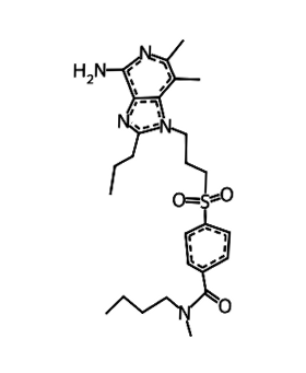 CCCCN(C)C(=O)c1ccc(S(=O)(=O)CCCn2c(CCC)nc3c(N)nc(C)c(C)c32)cc1